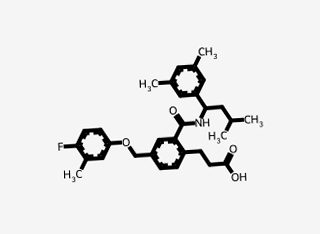 Cc1cc(C)cc(C(CC(C)C)NC(=O)c2cc(COc3ccc(F)c(C)c3)ccc2CCC(=O)O)c1